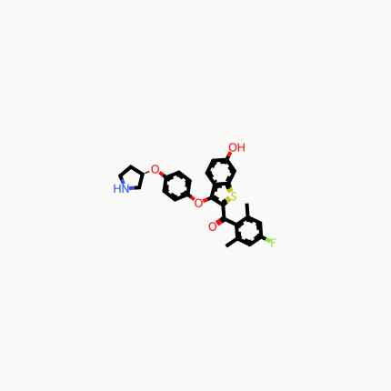 Cc1cc(F)cc(C)c1C(=O)c1sc2cc(O)ccc2c1Oc1ccc(O[C@H]2CCNC2)cc1